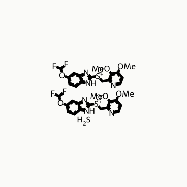 COc1ccnc(C[S+]([O-])c2nc3cc(OC(F)F)ccc3[nH]2)c1OC.COc1ccnc(C[S+]([O-])c2nc3cc(OC(F)F)ccc3[nH]2)c1OC.S